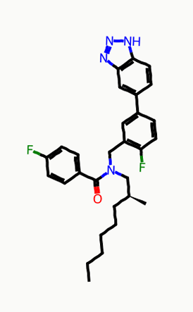 CCCCCC[C@H](C)CN(Cc1cc(-c2ccc3[nH]nnc3c2)ccc1F)C(=O)c1ccc(F)cc1